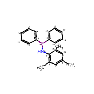 Cc1cc(C)c(NP(c2ccccc2)c2ccccc2)c(C)c1